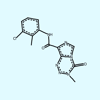 Cc1c(Cl)cccc1NC(=O)c1ncn2c(=O)n(C)nnc12